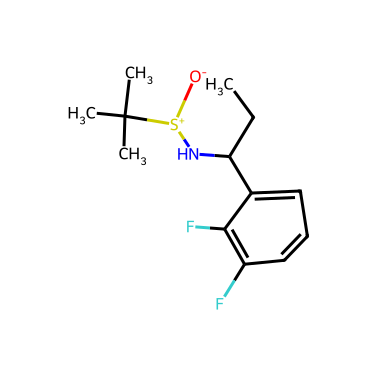 CCC(N[S+]([O-])C(C)(C)C)c1cccc(F)c1F